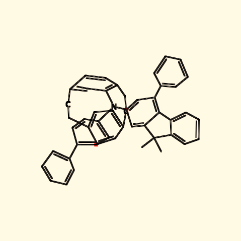 CC1(C)c2ccccc2-c2c(-c3ccccc3)cc(N(c3ccc(-c4ccccc4)cc3)c3cc4ccc3CCc3ccc(cc3)CC4)cc21